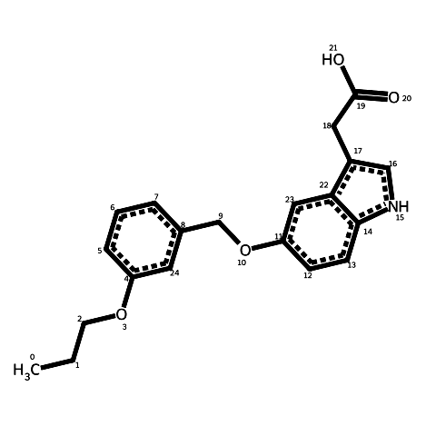 CCCOc1cccc(COc2ccc3[nH]cc(CC(=O)O)c3c2)c1